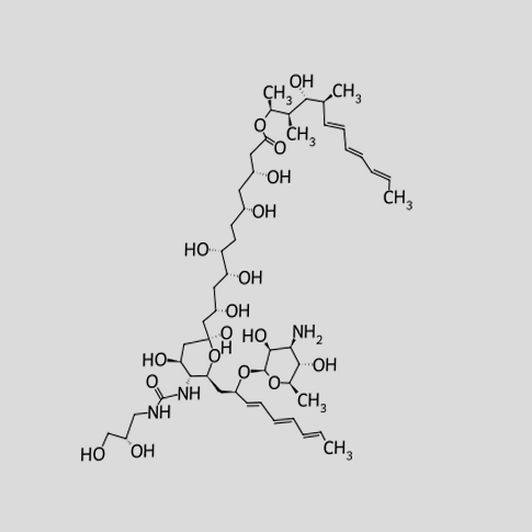 C/C=C/C=C/C=C/[C@@H](C[C@@H]1O[C@](O)(C[C@@H](O)C[C@@H](O)[C@H](O)CC[C@@H](O)C[C@@H](O)CC(=O)O[C@@H](C)[C@H](C)[C@H](O)[C@@H](C)/C=C/C=C/C=C/C)C[C@H](O)[C@H]1NC(=O)NC[C@H](O)CO)O[C@@H]1O[C@H](C)[C@@H](O)[C@H](N)[C@@H]1O